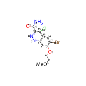 COCCOc1cc2nnc(C(N)=O)c(Cl)c2cc1Br